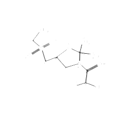 CCS(=O)(=O)CC1CN(C(=O)C(Cl)Cl)C(C)(C)O1